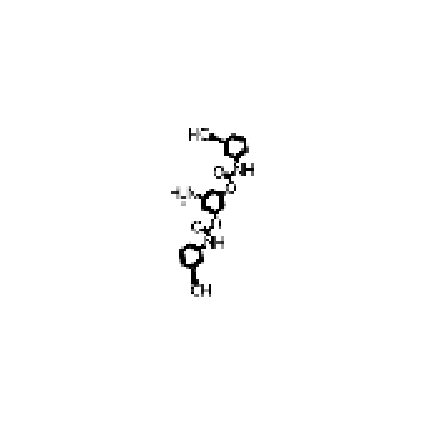 C#Cc1cccc(NC(=O)Oc2cc(N)cc(OC(=O)Nc3cccc(C#C)c3)c2)c1